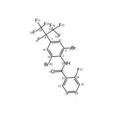 O=C(Nc1c(Br)cc(C(F)(C(F)(F)F)C(F)(F)F)cc1Br)c1ccccc1F